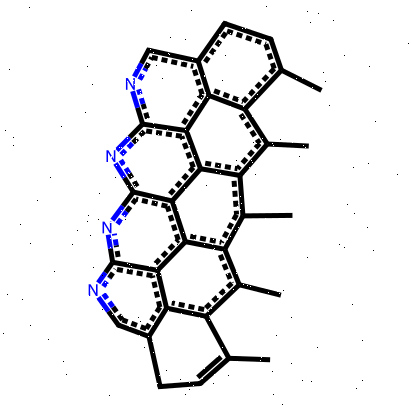 CC1=CCc2cnc3nc4nc5ncc6ccc(C)c7c(C)c8c(C)c9c(C)c1c2c3c9c4c8c5c67